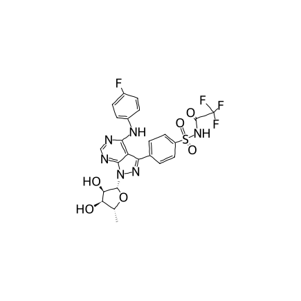 C[C@H]1O[C@@H](n2nc(-c3ccc(S(=O)(=O)NC(=O)C(F)(F)F)cc3)c3c(Nc4ccc(F)cc4)ncnc32)[C@H](O)[C@@H]1O